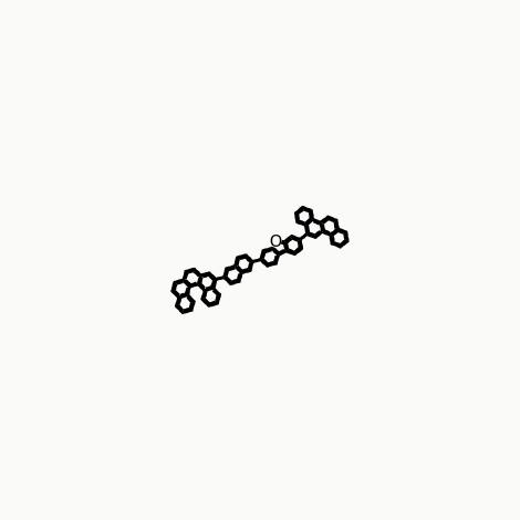 c1ccc2c(c1)ccc1c3ccccc3c(-c3ccc4c(c3)oc3cc(-c5ccc6cc(-c7cc8ccc9ccc%10ccccc%10c9c8c8ccccc78)ccc6c5)ccc34)cc21